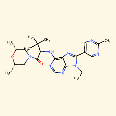 CCn1c(-c2cnc(C)nc2)nc2c(N[C@@H](C(=O)N3C[C@@H](C)O[C@@H](C)C3)C(C)(C)C)ncnc21